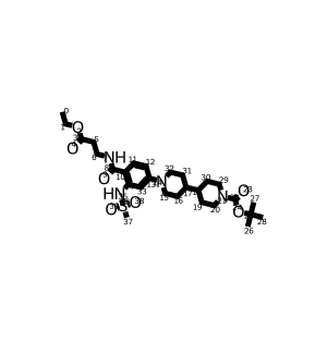 CCOC(=O)CCNC(=O)c1ccc(N2CCC(C3CCN(C(=O)OC(C)(C)C)CC3)CC2)cc1NS(C)(=O)=O